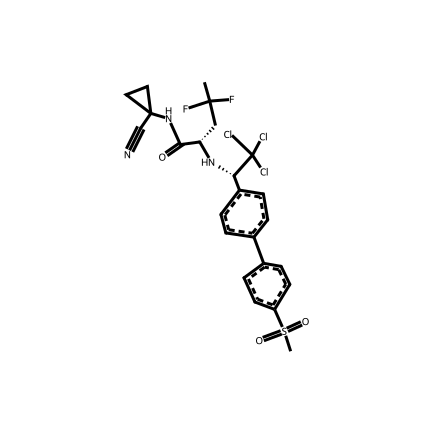 CC(F)(F)C[C@H](N[C@@H](c1ccc(-c2ccc(S(C)(=O)=O)cc2)cc1)C(Cl)(Cl)Cl)C(=O)NC1(C#N)CC1